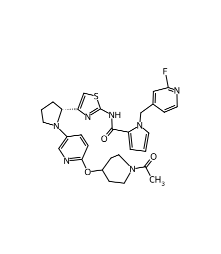 CC(=O)N1CCC(Oc2ccc(N3CCC[C@@H]3c3csc(NC(=O)c4cccn4Cc4ccnc(F)c4)n3)cn2)CC1